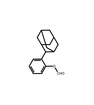 O=[C]Oc1ccccc1C1C2CC3CC(C2)CC1C3